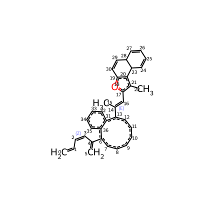 C=C/C=C\C(=C)c1ccccccc(/C(C)=C/c2oc3c(c2C)C2C=CC=CC2C=C3)c2ccccc12